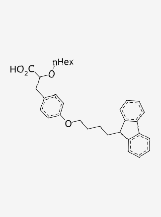 CCCCCCOC(Cc1ccc(OCCCCC2c3ccccc3-c3ccccc32)cc1)C(=O)O